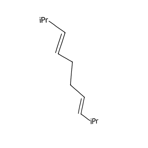 CC(C)C=CCCC=CC(C)C